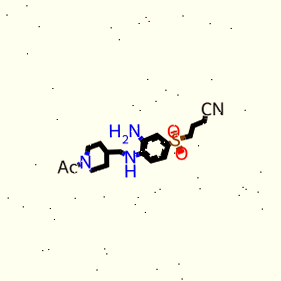 CC(=O)N1CCC(CNc2ccc(S(=O)(=O)CCCC#N)cc2N)CC1